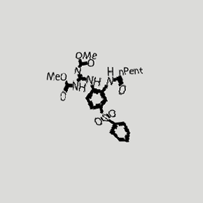 CCCCCC(=O)Nc1cc(S(=O)(=O)c2ccccc2)ccc1NC(=NC(=O)OC)NC(=O)OC